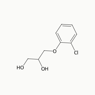 OCC(O)COc1ccccc1Cl